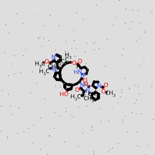 CCn1c(-c2cccnc2[C@H](C)OC)c2c3cc(ccc31)-c1cc(O)cc(c1)C[C@H](NC(=O)C(C(C)C)N(C)C(=O)[C@@H]1CCN(C(=O)OC)[C@@H]1c1ccccc1)C(=O)N1CCC[C@H](N1)C(=O)OCC(C)(C)C2